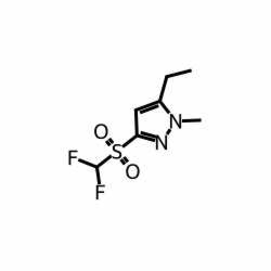 CCc1cc(S(=O)(=O)C(F)F)nn1C